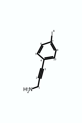 NCC#Cc1ccc(I)cc1